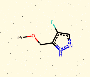 CC(C)OCc1[nH]ncc1F